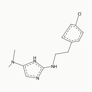 CN(C)c1cnc(NCCc2ccc(Cl)cc2)[nH]1